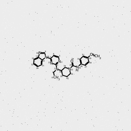 CCN(c1nccc(-n2cnc3ccccc32)n1)C1CCCN(C(=O)Nc2ccc(OC)cc2)C1